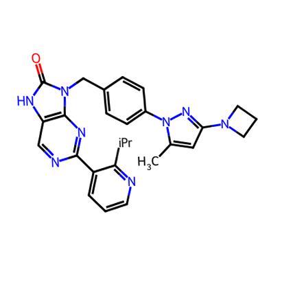 Cc1cc(N2CCC2)nn1-c1ccc(Cn2c(=O)[nH]c3cnc(-c4cccnc4C(C)C)nc32)cc1